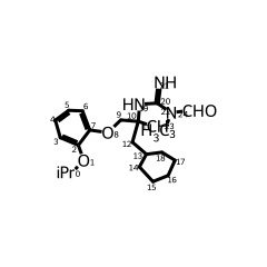 CC(C)Oc1ccccc1OCC(C)(CC1CCCCC1)NC(=N)N(C)C=O